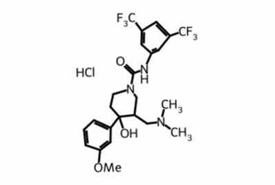 COc1cccc(C2(O)CCN(C(=O)Nc3cc(C(F)(F)F)cc(C(F)(F)F)c3)CC2CN(C)C)c1.Cl